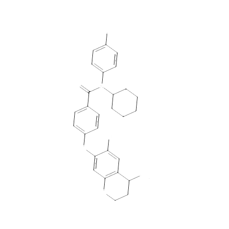 CCOC(=O)C1CCOc2cc(Oc3ccc(C(=O)N(c4ccc(Cl)cc4)C4CCCCC4)cc3)c(Cl)cc21